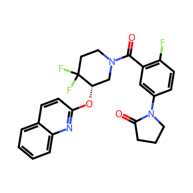 O=C(c1cc(N2CCCC2=O)ccc1F)N1CCC(F)(F)[C@@H](Oc2ccc3ccccc3n2)C1